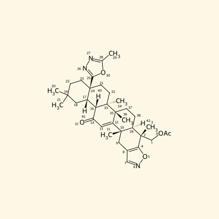 CC(=O)OC[C@]1(C)c2oncc2C[C@]2(C)C3=CC(=O)[C@@H]4[C@@H]5CC(C)(C)CC[C@]5(c5nnc(C)o5)CC[C@@]4(C)[C@]3(C)CC[C@H]21